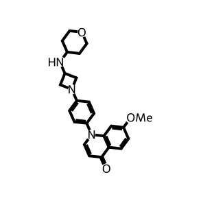 COc1ccc2c(=O)ccn(-c3ccc(N4CC(NC5CCOCC5)C4)cc3)c2c1